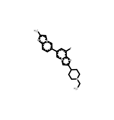 CCN1CCC(c2cn3cc(-c4ccc5nc(C)cn5c4)cc(F)c3n2)CC1